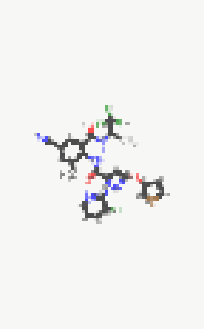 Cc1cc(C#N)cc(C(=O)NC(C)C(F)(F)F)c1NC(=O)c1cc(Oc2ccsc2)nn1-c1ncccc1Cl